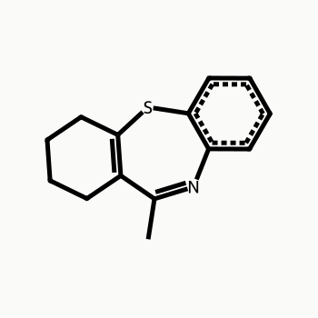 CC1=Nc2ccccc2SC2=C1CCCC2